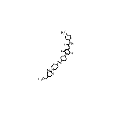 CCc1cnc(N2CCC(ON=C3CCN(c4cc(F)c(CC(=O)NC5CCN(C)CC5)cc4F)CC3)CC2)nc1